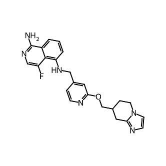 Nc1ncc(F)c2c(NCc3ccnc(OCC4CCn5ccnc5C4)c3)cccc12